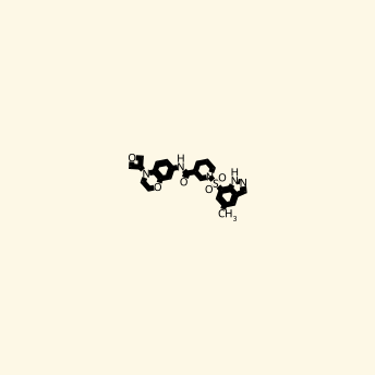 Cc1cc(S(=O)(=O)N2CCCC(C(=O)Nc3ccc4c(c3)OCCN4C3COC3)C2)c2[nH]ncc2c1